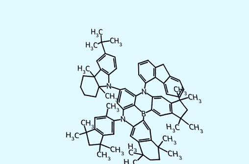 Cc1cc2c(cc1N1c3cc4c(cc3B3c5cc6c(cc5N(c5cccc7c5-c5ccccc5C7)c5cc(N7c8ccc(C(C)(C)C)cc8C8(C)CCCCC78C)cc1c53)C(C)(C)CC6(C)C)C(C)(C)CCC4(C)C)C(C)(C)CC2(C)C